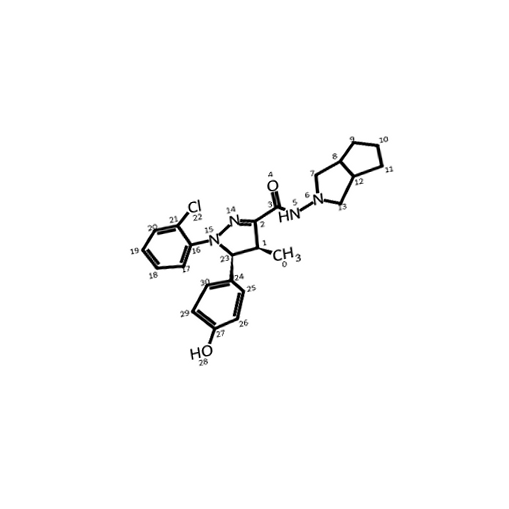 C[C@@H]1C(C(=O)NN2CC3CCCC3C2)=NN(c2ccccc2Cl)[C@@H]1c1ccc(O)cc1